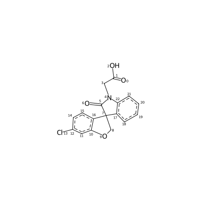 O=C(O)CN1C(=O)C2(COc3cc(Cl)ccc32)c2ccccc21